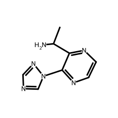 CC(N)c1nccnc1-n1cncn1